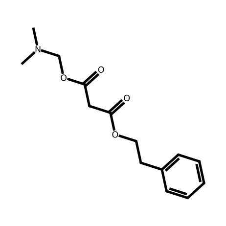 CN(C)COC(=O)CC(=O)OCCc1ccccc1